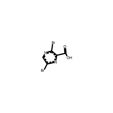 O=C(O)c1nc(Br)cnc1Br